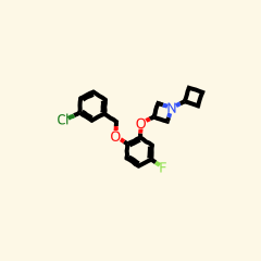 Fc1ccc(OCc2cccc(Cl)c2)c(OC2CN(C3CCC3)C2)c1